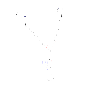 CC/C=C\C/C=C\C/C=C\CCCCCCCC(=O)OCC(COC(=O)CCCCCCC/C=C\C/C=C\CCCCC)COC(=O)NC1CN(C2CCCCC2)C1